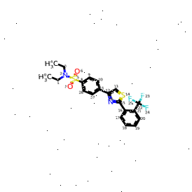 CCN(CC)S(=O)(=O)c1ccc(-c2csc(-c3ccccc3C(F)(F)F)n2)cc1